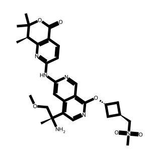 COC[C@@](C)(N)c1cnc(O[C@H]2C[C@H](CS(C)(=O)=O)C2)c2cnc(Nc3ccc4c(n3)[C@@H](C)C(C)(C)OC4=O)cc12